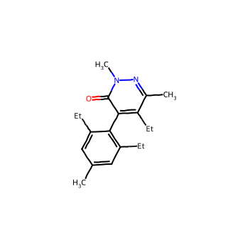 CCc1cc(C)cc(CC)c1-c1c(CC)c(C)nn(C)c1=O